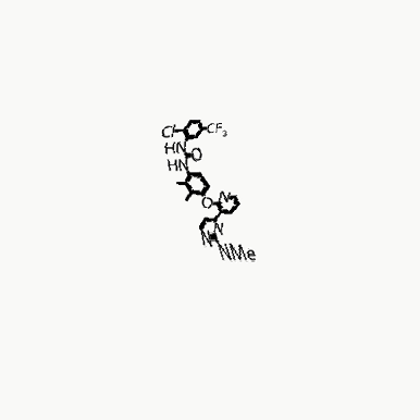 CNc1nccc(-c2cccnc2Oc2ccc(NC(=O)Nc3cc(C(F)(F)F)ccc3Cl)c(C)c2C)n1